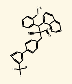 COc1ccccc1C(c1cccc2ccccc12)C(C#N)(Cc1ccc(-c2cccc(C(F)(F)F)c2)cc1)C(=O)O